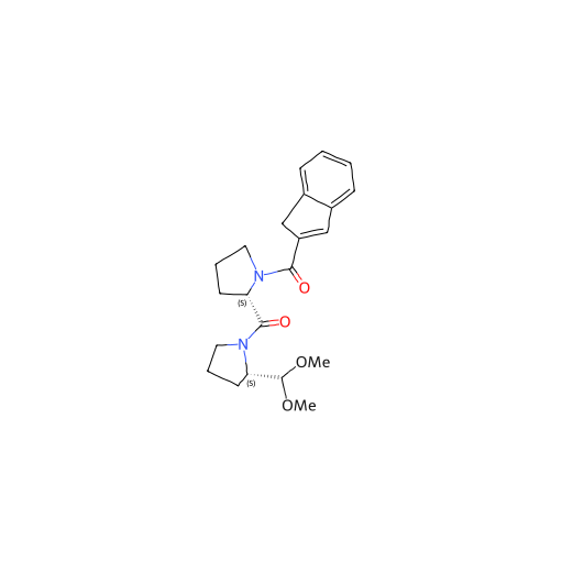 COC(OC)[C@@H]1CCCN1C(=O)[C@@H]1CCCN1C(=O)C1=Cc2ccccc2C1